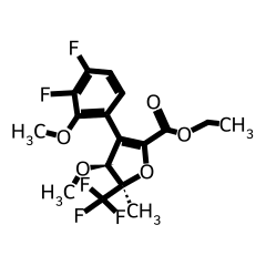 CCOC(=O)C1=C(c2ccc(F)c(F)c2OC)[C@H](OC)[C@](C)(C(F)(F)F)O1